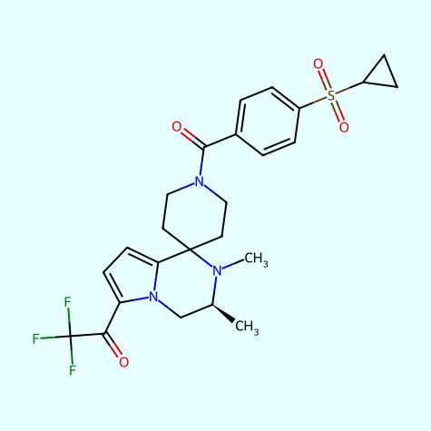 C[C@H]1Cn2c(C(=O)C(F)(F)F)ccc2C2(CCN(C(=O)c3ccc(S(=O)(=O)C4CC4)cc3)CC2)N1C